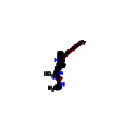 CCCOCCOCCOCCOCCOCCNC(=O)[C@H](Cc1ccccc1)NC(=O)c1ccc(-c2ccc(C(CC(=O)O)NC(=O)CNC(=O)CCCNc3cc(C)ccn3)cc2)c2ccccc12